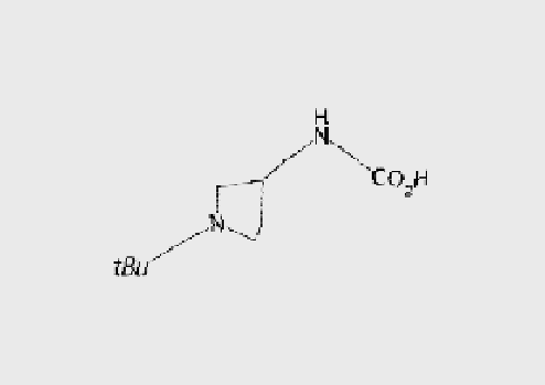 CC(C)(C)N1CC(NC(=O)O)C1